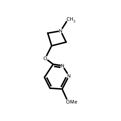 COc1ccc(OC2CN(C)C2)nn1